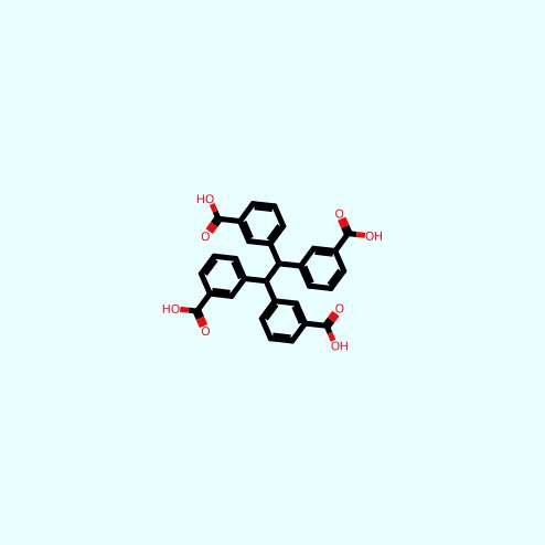 O=C(O)c1cccc(C(c2cccc(C(=O)O)c2)C(c2cccc(C(=O)O)c2)c2cccc(C(=O)O)c2)c1